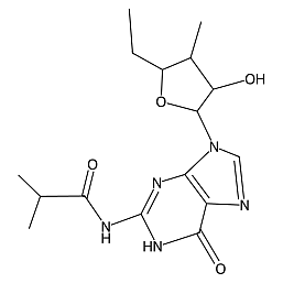 CCC1OC(n2cnc3c(=O)[nH]c(NC(=O)C(C)C)nc32)C(O)C1C